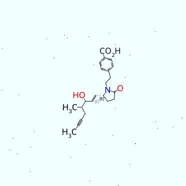 CC#CCC(C)C(O)/C=C/[C@H]1CCC(=O)N1CCc1ccc(C(=O)O)cc1